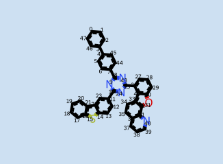 c1ccc(-c2ccc(-c3nc(-c4ccc5sc6ccccc6c5c4)nc(-c4cccc5oc6c(ccc7cccnc76)c45)n3)cc2)cc1